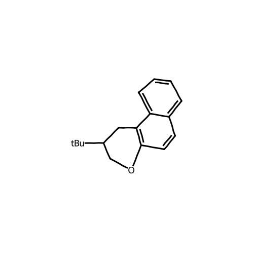 CC(C)(C)C1COc2ccc3ccccc3c2C1